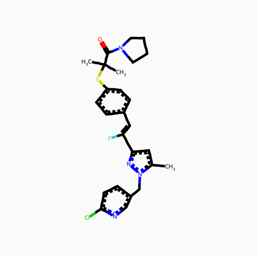 Cc1cc(C(F)=Cc2ccc(SC(C)(C)C(=O)N3CCCC3)cc2)nn1Cc1ccc(Cl)nc1